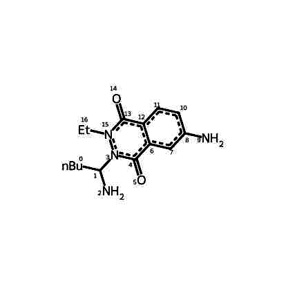 CCCCC(N)n1c(=O)c2cc(N)ccc2c(=O)n1CC